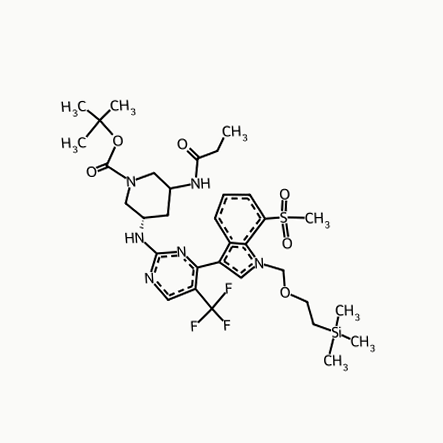 CCC(=O)NC1C[C@H](Nc2ncc(C(F)(F)F)c(-c3cn(COCC[Si](C)(C)C)c4c(S(C)(=O)=O)cccc34)n2)CN(C(=O)OC(C)(C)C)C1